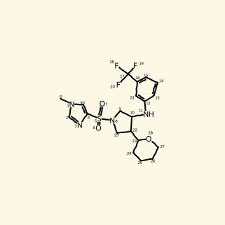 Cn1cnc(S(=O)(=O)N2CC(Nc3cccc(C(F)(F)F)c3)C(C3CCCCO3)C2)c1